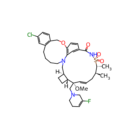 CO[C@@]1(CN2CCC=C(F)C2)/C=C/C[C@H](C)[C@@H](C)S(=O)(=O)NC(=O)c2ccc3c(c2)N(CCCCc2cc(Cl)ccc2CO3)C[C@@H]2CC[C@H]21